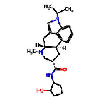 CC(C)n1cc2c3c(cccc31)[C@H]1C[C@H](C(=O)NC3CCCC3O)CN(C)[C@@H]1C2